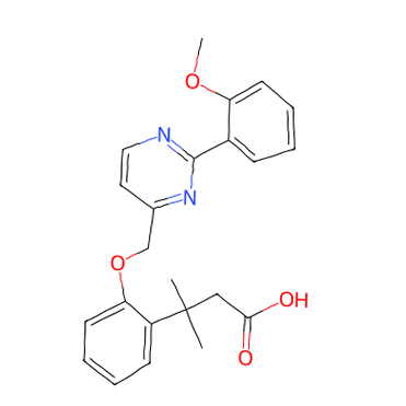 COc1ccccc1-c1nccc(COc2ccccc2C(C)(C)CC(=O)O)n1